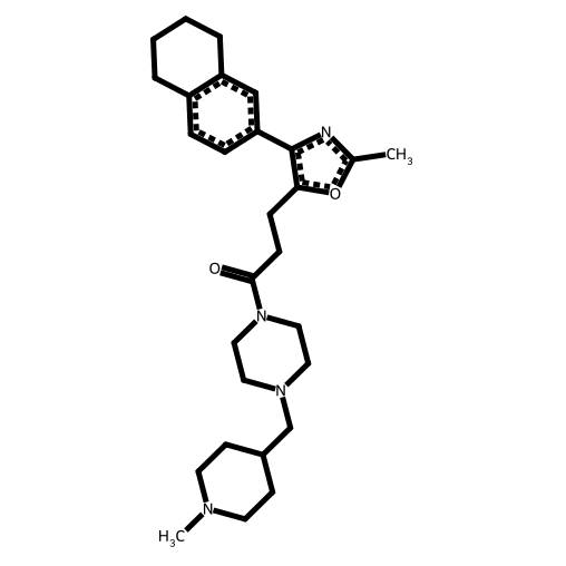 Cc1nc(-c2ccc3c(c2)CCCC3)c(CCC(=O)N2CCN(CC3CCN(C)CC3)CC2)o1